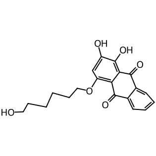 O=C1c2ccccc2C(=O)c2c(O)c(O)cc(OCCCCCCO)c21